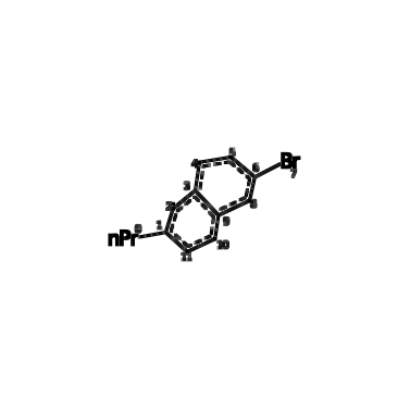 CCCc1[c]c2ccc(Br)cc2cc1